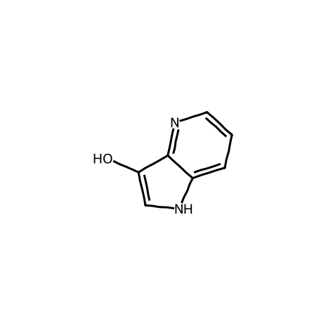 Oc1c[nH]c2cccnc12